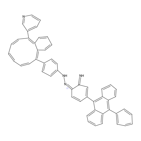 N=C1C=C(c2c3ccccc3c(-c3ccccc3)c3ccccc23)C=C/C1=N/Nc1ccc(-c2ccccccc(-c3cccnc3)c3ccccc23)cc1